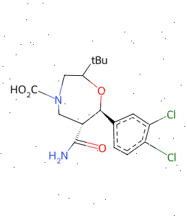 CC(C)(C)C1CN(C(=O)O)C[C@@H](C(N)=O)[C@H](c2ccc(Cl)c(Cl)c2)O1